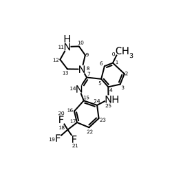 Cc1ccc2c(c1)C(N1CCNCC1)=Nc1cc(C(F)(F)F)ccc1N2